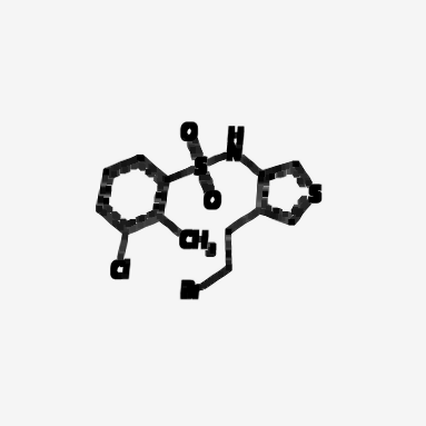 Cc1c(Cl)cccc1S(=O)(=O)Nc1cscc1CCBr